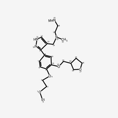 CCOCCOc1ccc(-c2n[nH]cc2CN(C)CCNC)cc1OCC1CCOC1